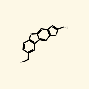 O=C(O)c1cc2cc3oc4ccc(CO)cc4c3cc2o1